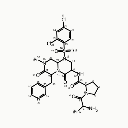 CC(C)C(N)C(=O)N1CCCC1C(=O)NC1CN(S(=O)(=O)c2ccc(Cl)cc2Cl)C2CN(C(C)C)C(=O)C(Cc3cccnc3)N2C1=O